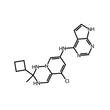 CC1(C2CCC2)NC=C2C(Cl)=CC(Nc3ncnc4[nH]ccc34)=CN2N1